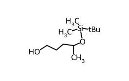 CC(CCCO)O[Si](C)(C)C(C)(C)C